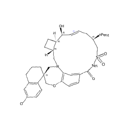 CCCCC[C@@H]1C/C=C/[C@H](O)[C@@H]2CC[C@H]2CN2C[C@@]3(CCCc4cc(Cl)ccc43)COc3ccc(cc32)C(=O)NS(=O)(=O)C1